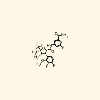 COc1c([C@H]2[C@@H](C)[C@@](C)(C(F)(F)F)O[C@H]2C(=O)Nc2cc(F)nc(C(N)=O)c2)ccc(F)c1F